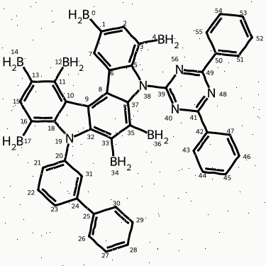 Bc1cc(B)c2c(c1)c1c3c4c(B)c(B)cc(B)c4n(-c4cccc(-c5ccccc5)c4)c3c(B)c(B)c1n2-c1nc(-c2ccccc2)nc(-c2ccccc2)n1